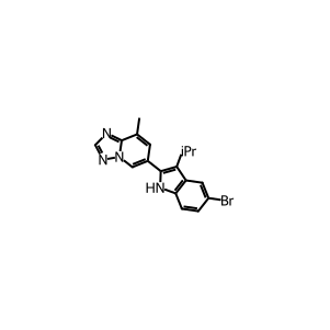 Cc1cc(-c2[nH]c3ccc(Br)cc3c2C(C)C)cn2ncnc12